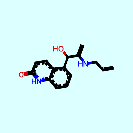 C=CCNC(=C)C(O)c1cccc2[nH]c(=O)ccc12